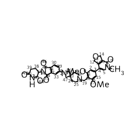 COc1cc(-c2cn(C)c(=O)c3c2COC3)cc(OC)c1CN1CCC2(CC1)CN(c1ccc3c(c1)C(=O)N(C1CCC(=O)NC1=O)C3=O)C2